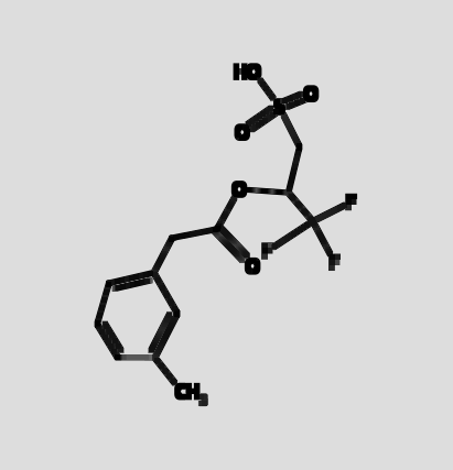 Cc1cccc(CC(=O)OC(CS(=O)(=O)O)C(F)(F)F)c1